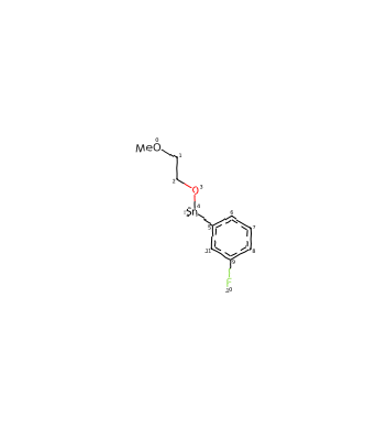 COCC[O][Sn][c]1cccc(F)c1